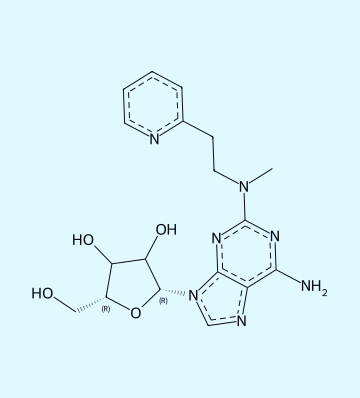 CN(CCc1ccccn1)c1nc(N)c2ncn([C@@H]3O[C@H](CO)C(O)C3O)c2n1